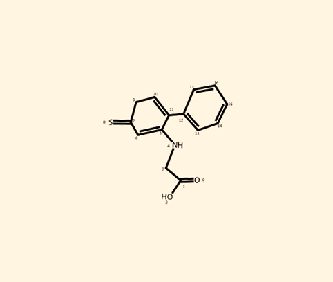 O=C(O)CNC1=CC(=S)CC=C1c1ccccc1